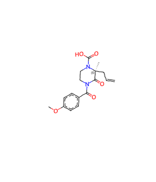 C=CC[C@@]1(C)C(=O)N(C(=O)c2ccc(OC)cc2)CCN1C(=O)O